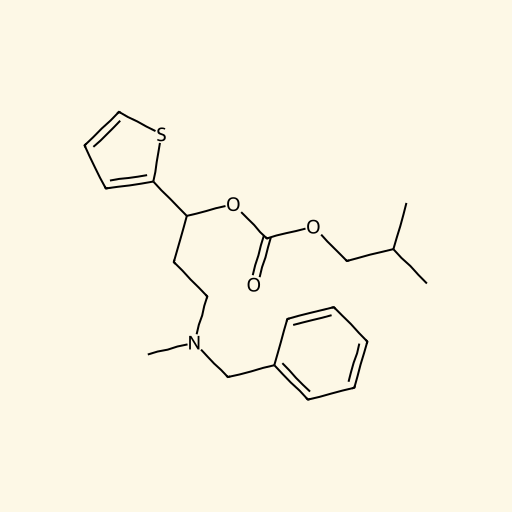 CC(C)COC(=O)OC(CCN(C)Cc1ccccc1)c1cccs1